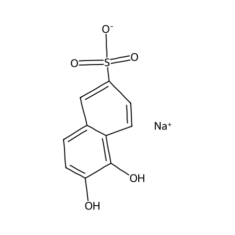 O=S(=O)([O-])c1ccc2c(O)c(O)ccc2c1.[Na+]